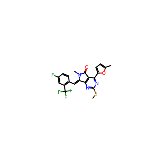 CSc1nc2c(c(-c3ccc(C)o3)n1)C(=O)N(C)/C2=C\c1ccc(F)cc1C(F)(F)F